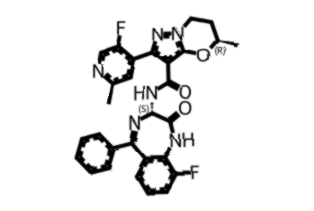 Cc1cc(-c2nn3c(c2C(=O)N[C@H]2N=C(c4ccccc4)c4cccc(F)c4NC2=O)O[C@H](C)CC3)c(F)cn1